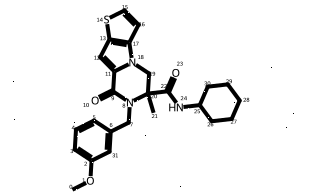 COc1cccc(CN2C(=O)c3cc4sccc4n3CC2(C)C(=O)NC2CCCCC2)c1